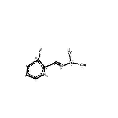 CC(C)(C)[S+]([O-])N=Cc1ncccc1F